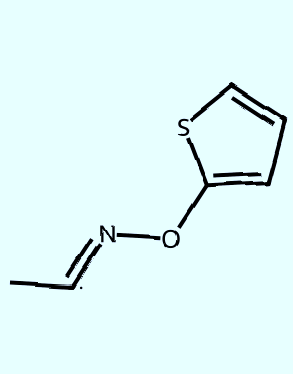 C[C]=NOc1cccs1